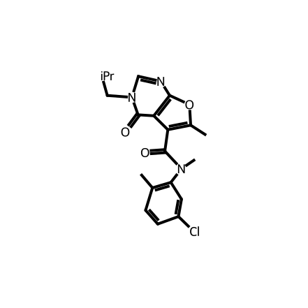 Cc1ccc(Cl)cc1N(C)C(=O)c1c(C)oc2ncn(CC(C)C)c(=O)c12